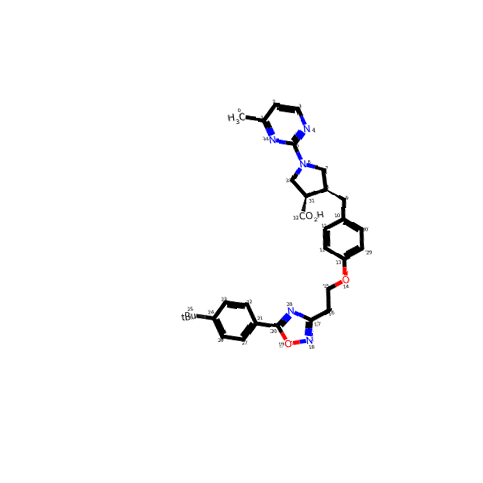 Cc1ccnc(N2C[C@@H](Cc3ccc(OCCc4noc(-c5ccc(C(C)(C)C)cc5)n4)cc3)[C@@H](C(=O)O)C2)n1